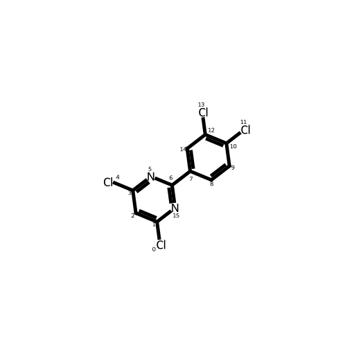 Clc1cc(Cl)nc(-c2ccc(Cl)c(Cl)c2)n1